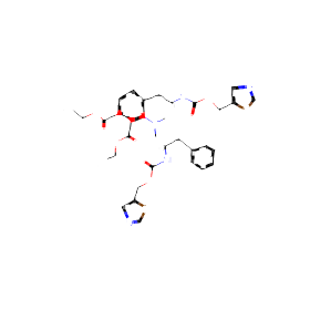 CCOC(=O)CC(CN(C[C@H](Cc1ccccc1)NC(=O)OCc1cncs1)C[C@H](Cc1ccccc1)NC(=O)OCc1cncs1)C(=O)OCC